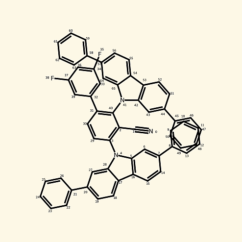 N#Cc1c(-n2c3cc(-c4ccccc4)ccc3c3ccc(-c4ccccc4)cc32)ccc(-c2cc(F)cc(F)c2)c1-n1c2cc(-c3ccccc3)ccc2c2ccc(-c3ccccc3)cc21